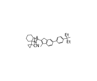 C=C(NC1(C2(C#N)CC2)CCCCC1)C1=C(C)c2ccc(-c3ccc(C(C)(CC)CC)cc3)cc2C1